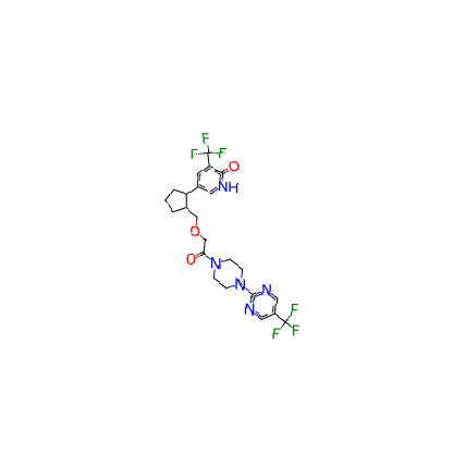 O=C(COCC1CCCC1c1c[nH]c(=O)c(C(F)(F)F)c1)N1CCN(c2ncc(C(F)(F)F)cn2)CC1